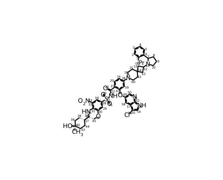 CC(C)c1ccccc1C1CCCN1C1CC2(CCN(c3ccc(C(=O)NS(=O)(=O)c4cc5c(c([N+](=O)[O-])c4)N[C@@H]([C@H]4CC[C@](C)(O)CC4)CO5)c(Oc4cnc5[nH]cc(Cl)c5c4)c3)CC2)C1